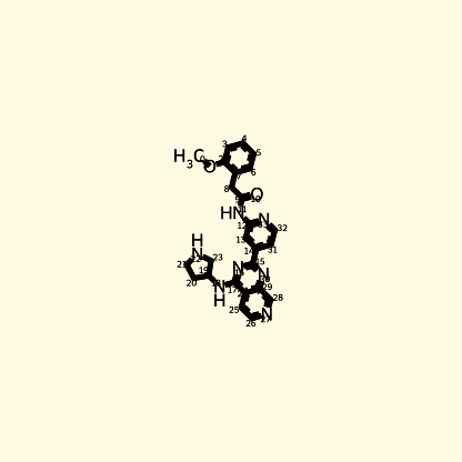 COc1ccccc1CC(=O)Nc1cc(-c2nc(NC3CCNC3)c3ccncc3n2)ccn1